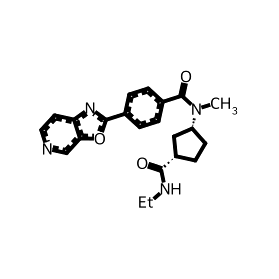 CCNC(=O)[C@H]1CC[C@@H](N(C)C(=O)c2ccc(-c3nc4ccncc4o3)cc2)C1